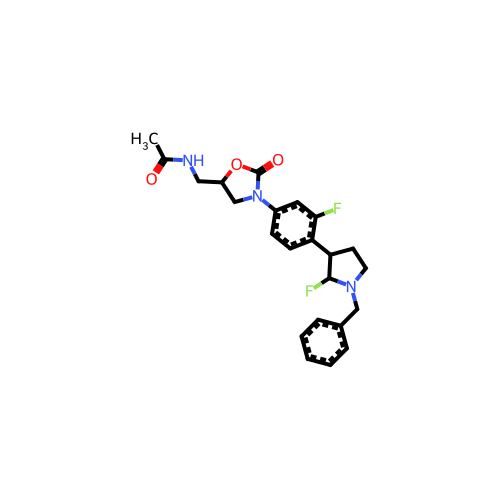 CC(=O)NCC1CN(c2ccc(C3CCN(Cc4ccccc4)C3F)c(F)c2)C(=O)O1